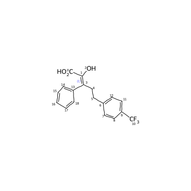 O=C(O)/C(O)=C(/CCc1ccc(C(F)(F)F)cc1)c1ccccc1